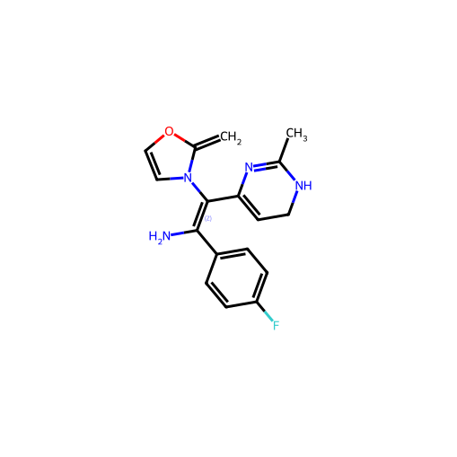 C=C1OC=CN1/C(C1=CCNC(C)=N1)=C(\N)c1ccc(F)cc1